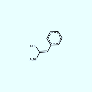 CC(=O)NC(C=O)=Cc1ccccc1